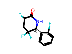 O=C1N[C@H](c2ccccc2F)C(F)(F)CC1F